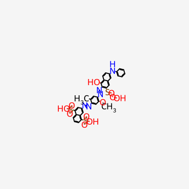 COc1cc(N=Nc2cc(S(=O)(=O)O)c3cccc(S(=O)(=O)O)c3c2)c(C)cc1N=Nc1c(SOOO)cc2cc(Nc3ccccc3)ccc2c1O